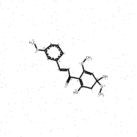 COC1=CC(O)(OC)CC(O)=C1C(=O)C=Cc1cccc(OC)c1